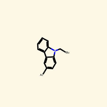 CCC(C)Cn1c2ccccc2c2cc(C(C)=O)ccc21